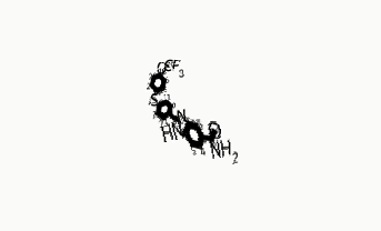 NC(=O)c1ccc2[nH]c(-c3ccc(Sc4ccc(OC(F)(F)F)cc4)cc3)nc2c1